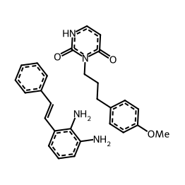 COc1ccc(CCCn2c(=O)cc[nH]c2=O)cc1.Nc1cccc(C=Cc2ccccc2)c1N